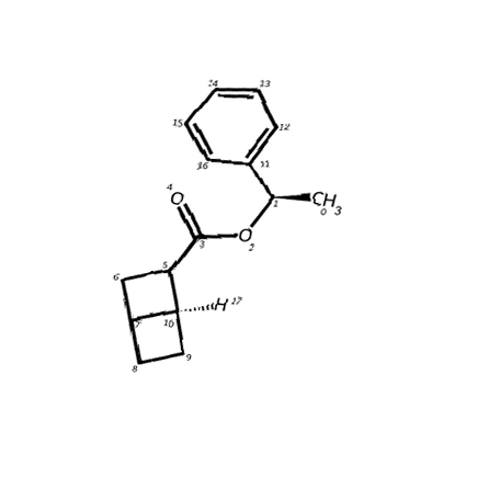 C[C@@H](OC(=O)C1CC2CC[C@@H]21)c1ccccc1